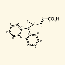 O=C(O)/C=C/[C@H]1CC1(c1ccccc1)c1ccccc1